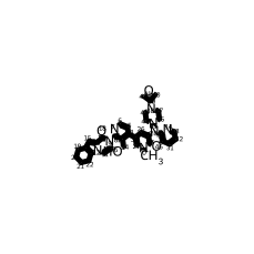 Cn1cc(-c2ccnc(-n3ccn4c5c(cc4c3=O)CCCC5)c2CO)cc(N(c2ccccn2)N2CCN(C3COC3)CC2)c1=O